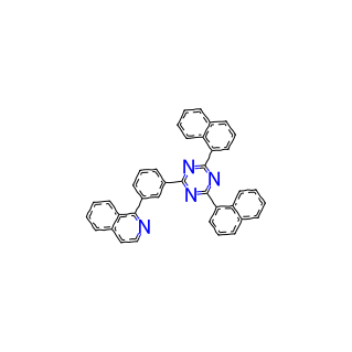 c1cc(-c2nc(-c3cccc4ccccc34)nc(-c3cccc4ccccc34)n2)cc(-c2nccc3ccccc23)c1